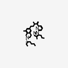 C=C(c1cccc(-n2ncc(C)c2CCC)n1)C(C)CCc1cc(C)c2c(c1)CCN(C[C@@H](CC)CCCC)C2